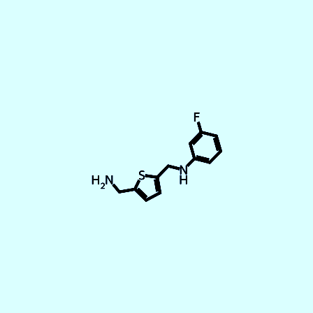 NCc1ccc(CNc2cccc(F)c2)s1